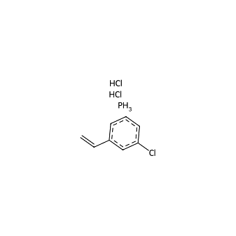 C=Cc1cccc(Cl)c1.Cl.Cl.P